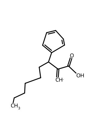 [CH]=C(C(=O)O)C(CCCCCC)c1ccccc1